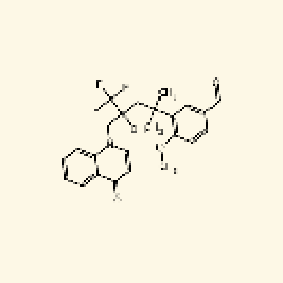 COc1ccc(C=O)cc1C(C)(C)CC(O)(Cn1ccc(=O)c2ccccc21)C(F)(F)F